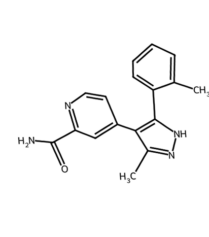 Cc1ccccc1-c1[nH]nc(C)c1-c1ccnc(C(N)=O)c1